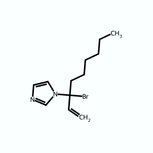 C=CC(Br)(CCCCCC)n1ccnc1